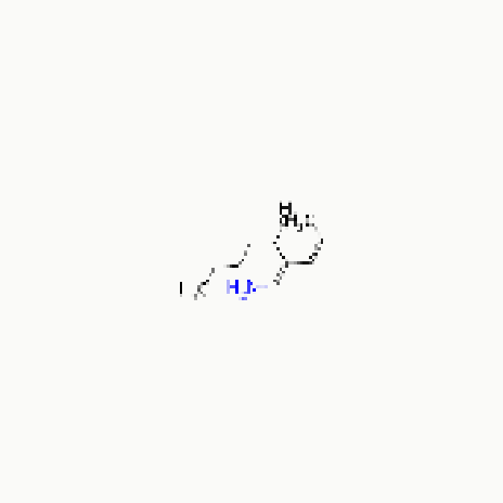 C\C=C/C(=C/N)C(/C)=C\CCC